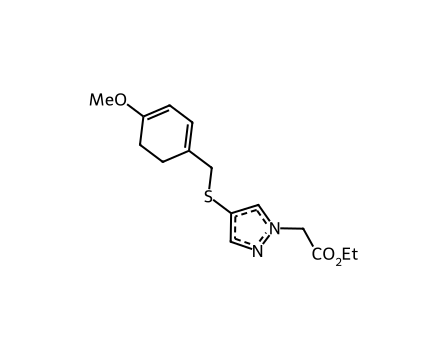 CCOC(=O)Cn1cc(SCC2=CC=C(OC)CC2)cn1